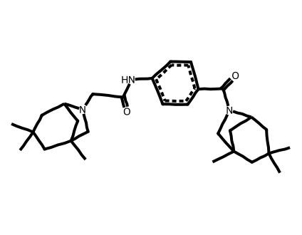 CC1(C)CC2CC(C)(CN2CC(=O)Nc2ccc(C(=O)N3CC4(C)CC3CC(C)(C)C4)cc2)C1